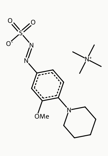 COc1cc(N=NS(=O)(=O)[O-])ccc1N1CCCCC1.C[N+](C)(C)C